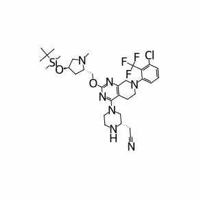 CN1C[C@H](O[Si](C)(C)C(C)(C)C)C[C@H]1COc1nc2c(c(N3CCN[C@@H](CC#N)C3)n1)CCN(c1cccc(Cl)c1C(F)(F)F)C2